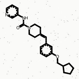 O=C(Nc1cccnc1)N1CCC(=Cc2cccc(OCC3CCCC3)c2)CC1